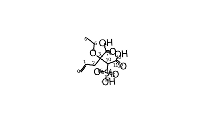 C=CCC(OCC)(C(=O)O)C(C(=O)O)S(=O)(=O)O